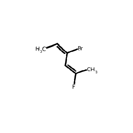 C/C=C(Br)\C=C(/C)F